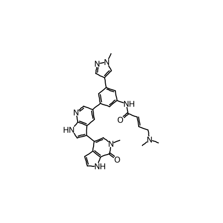 CN(C)CC=CC(=O)Nc1cc(-c2cnc3[nH]cc(-c4cn(C)c(=O)c5[nH]ccc45)c3c2)cc(-c2cnn(C)c2)c1